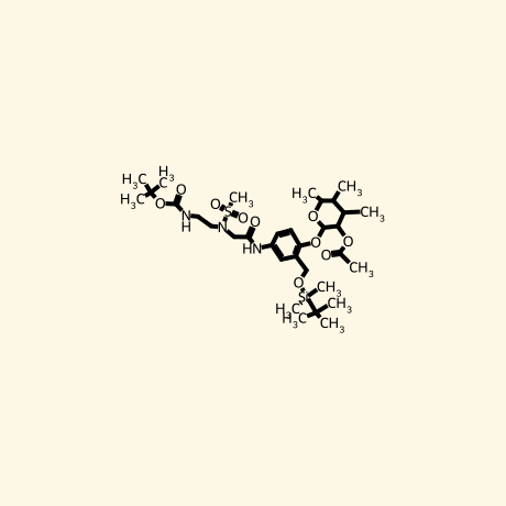 CC(=O)OC1C(Oc2ccc(NC(=O)CN(CCNC(=O)OC(C)(C)C)S(C)(=O)=O)cc2CO[Si](C)(C)C(C)(C)C)OC(C)C(C)C1C